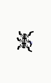 C=CN1C2C3N(C=CC)C(C4N(C=C)C1C(N4C=CC)N3/C=C\C)N2C=C